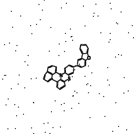 c1ccc2c(c1)oc1ccc(-c3ccc4c(c3)sc3cccc5c3-n4c3cccc4cccc5c43)cc12